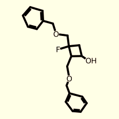 OC1CC(F)(COCc2ccccc2)C1COCc1ccccc1